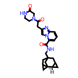 O=C1CN(C(=O)Cc2cn3c(C(=O)NCC45CC6C[C@@H]6C6(CC6C4)C5)cccc3n2)CCN1